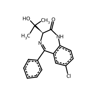 CC(C)(O)[C@@H]1N=C(c2ccccc2)c2cc(Cl)ccc2NC1=O